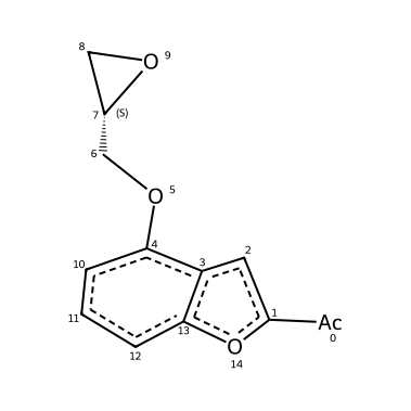 CC(=O)c1cc2c(OC[C@@H]3CO3)cccc2o1